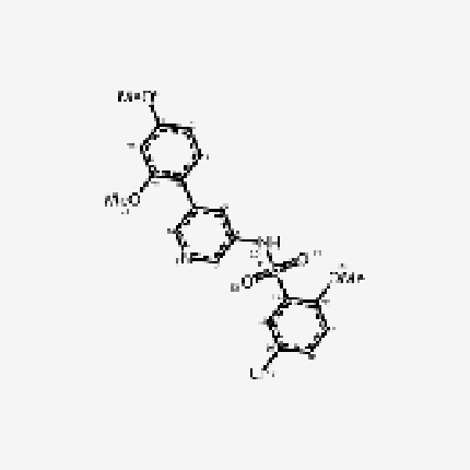 COc1ccc(-c2cncc(NS(=O)(=O)c3cc(Cl)ccc3OC)c2)c(OC)c1